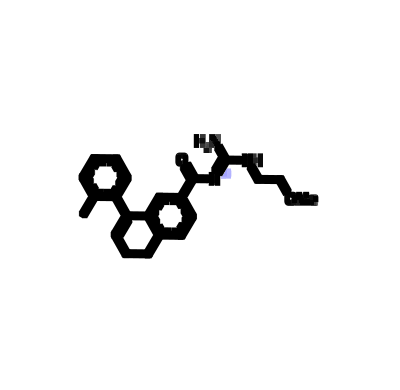 COCCN/C(N)=N/C(=O)c1ccc2c(c1)C(c1ccccc1C)=CCC2